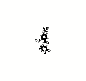 CN1CC(C)(C)C(OC(=O)c2ccc(OS(C)(=O)=O)cc2[N+](=O)[O-])=CC1=O